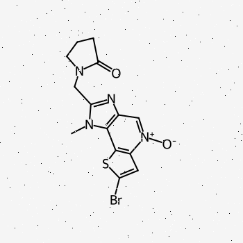 Cn1c(CN2CCCC2=O)nc2c[n+]([O-])c3cc(Br)sc3c21